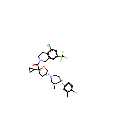 Cc1cc([C@H]2CCN([C@@H]3CC[C@@](C(=O)N4CCc5c(Cl)cc(C(F)(F)F)cc5C4)(C4CC4)OC3)C[C@@H]2C)ccc1F